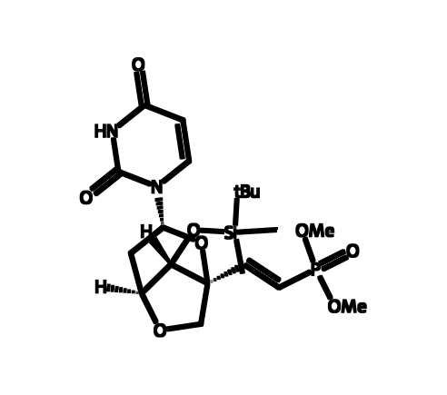 COP(=O)(/C=C/[C@@]12CO[C@@H](C[C@H](n3ccc(=O)[nH]c3=O)O1)[C@@H]2O[Si](C)(C)C(C)(C)C)OC